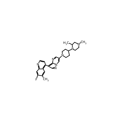 Cc1cc2c(-c3cnn4cc(N5CCC(N6CCN(C)CC6C)CC5)cnc34)ccnc2cc1F